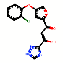 O=C(C=C(O)c1nc[nH]n1)c1cc(Oc2ccccc2Cl)co1